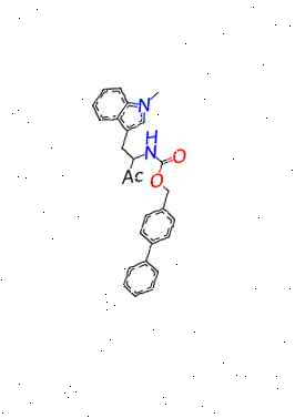 CC(=O)C(Cc1cn(C)c2ccccc12)NC(=O)OCc1ccc(-c2ccccc2)cc1